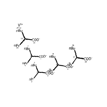 CCCCC(CCC)C(=O)[O-].CCCCC(CCC)C(=O)[O-].CCCCC(CCC)C(=O)[O-].CCCCC(CCC)C(=O)[O-].CCCCC(CCC)C(=O)[O-].[V+5]